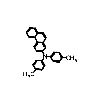 Cc1ccc(N(c2ccc(C)cc2)c2ccc3c(ccc4ccccc43)c2)cc1